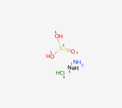 Cl.N.O=S(O)O.[NaH]